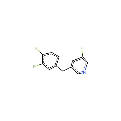 Fc1cncc([CH]c2ccc(F)c(F)c2)c1